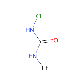 CCNC(=O)NCl